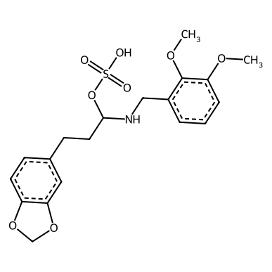 COc1cccc(CNC(CCc2ccc3c(c2)OCO3)OS(=O)(=O)O)c1OC